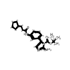 CC(C)(C)OC(=O)n1c(-c2cccc(NC(=O)CCC3CCCC3)c2)cnc1N